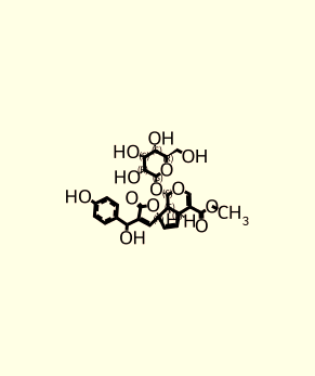 COC(=O)C1=CO[C@@H](O[C@@H]2O[C@H](CO)[C@@H](O)[C@H](O)[C@H]2O)[C@H]2[C@@H]1C=C[C@@]21C=C(C(O)c2ccc(O)cc2)C(=O)O1